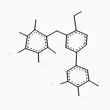 COc1cc(-c2ccc(CO)c(Cc3c(Br)c(Br)c(OC)c(OC)c3Br)c2)cc(Br)c1OC